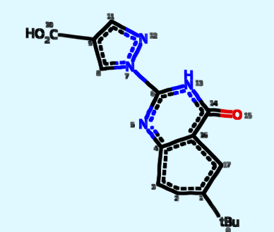 CC(C)(C)c1ccc2nc(-n3cc(C(=O)O)cn3)[nH]c(=O)c2c1